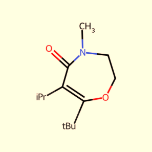 CC(C)C1=C(C(C)(C)C)OCCN(C)C1=O